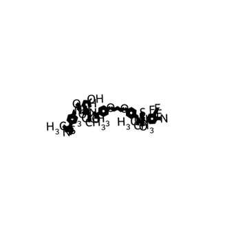 Cc1ncsc1-c1ccc(CNC(=O)[C@@H]2C[C@@H](O)CN2C(=O)C(NC(=O)c2ccc(OCCCOc3ccc(N4C(=S)N(c5ccc(C#N)c(C(F)(F)F)c5)C(=O)C4(C)C)cc3)cc2)C(C)(C)C)cc1